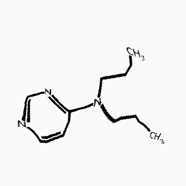 CCCN(CCC)c1ccncn1